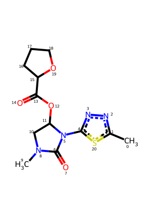 Cc1nnc(N2C(=O)N(C)CC2OC(=O)C2CCCO2)s1